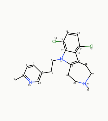 Cc1ccc(CCn2c3c(c4c(Cl)ccc(Cl)c42)CCN(C)CC3)cn1